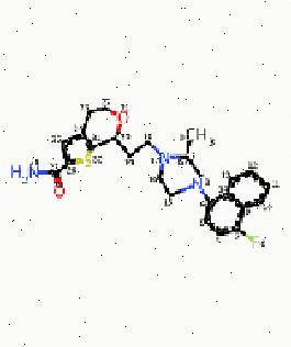 C[C@H]1CN(c2ccc(F)c3ccccc23)CCN1CCC1OCCc2cc(C(N)=O)sc21